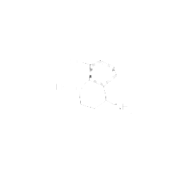 Cl.NC1CCOc2c(C(=O)O)cccc21